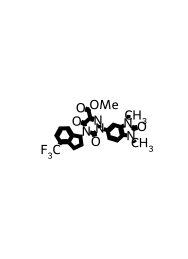 COC(=O)c1nn(-c2ccc3c(c2)n(C)c(=O)n3C)c(=O)n([C@@H]2CCc3c2cccc3C(F)(F)F)c1=O